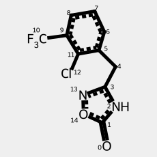 O=c1[nH]c(Cc2cccc(C(F)(F)F)c2Cl)no1